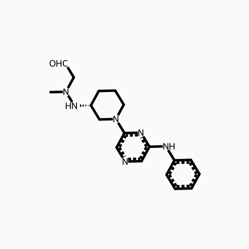 CN(CC=O)N[C@@H]1CCCN(c2cncc(Nc3ccccc3)n2)C1